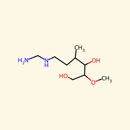 COC(CO)C(O)C(C)CCNCN